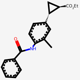 CCOC(=O)[C@@H]1C[C@H]1c1ccc(NC(=O)c2ccccc2)c(C)c1